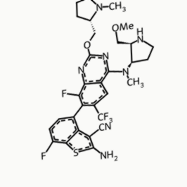 COC[C@H]1NCC[C@H]1N(C)c1nc(OC[C@@H]2CCCN2C)nc2c(F)c(-c3ccc(F)c4sc(N)c(C#N)c34)c(C(F)(F)F)cc12